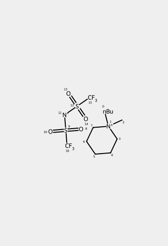 CCCC[N+]1(C)CCCCC1.O=S(=O)([N-]S(=O)(=O)C(F)(F)F)C(F)(F)F